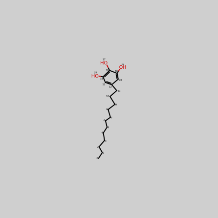 CCCCCCCCCCCCc1cc(O)c(O)c(O)c1